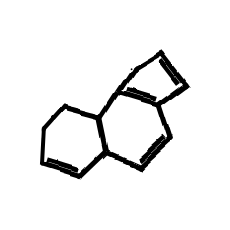 [CH]1C=CC2=C1C1CCC=CC1C=C2